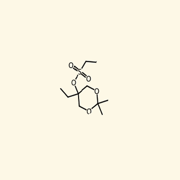 CCC1(OS(=O)(=O)CC)COC(C)(C)OC1